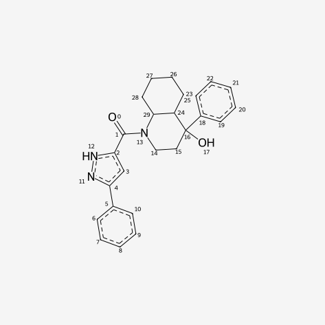 O=C(c1cc(-c2ccccc2)n[nH]1)N1CCC(O)(c2ccccc2)C2CCCCC21